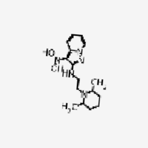 CC1CCCC(C)N1CCNc1nn2ccccc2c1N(O)O